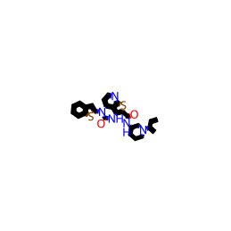 C=CC(=C)N1CCC[C@@H](NC(=O)c2sc3nccc4c3c2NC(=O)N4c2cc3ccccc3s2)C1